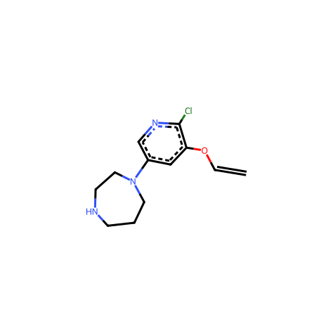 C=COc1cc(N2CCCNCC2)cnc1Cl